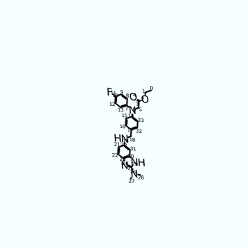 CCOC(=O)CN(c1ccc(F)cc1)c1ccc(CNc2ccc3nc(N(C)C)[nH]c3c2)cc1